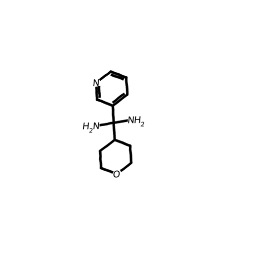 NC(N)(c1cccnc1)C1CCOCC1